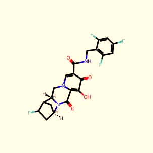 O=C(NCc1c(F)cc(F)cc1F)c1cn2c(c(O)c1=O)C(=O)N1[C@H]3CC(F)C(C3)[C@@H]1C2